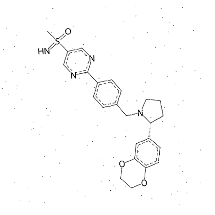 CS(=N)(=O)c1cnc(-c2ccc(CN3CCC[C@@H]3c3ccc4c(c3)OCCO4)cc2)nc1